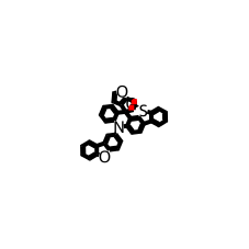 c1ccc2c(c1)N(c1ccc3oc4ccccc4c3c1)c1ccc3c(sc4ccccc43)c1C21c2ccoc2-c2occc21